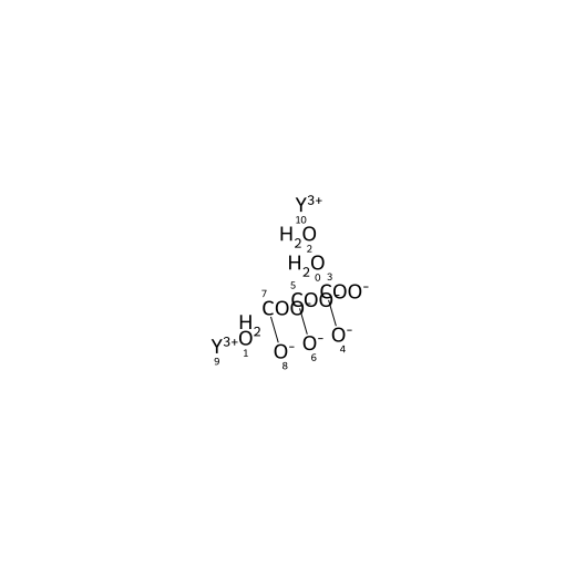 O.O.O.O=C([O-])[O-].O=C([O-])[O-].O=C([O-])[O-].[Y+3].[Y+3]